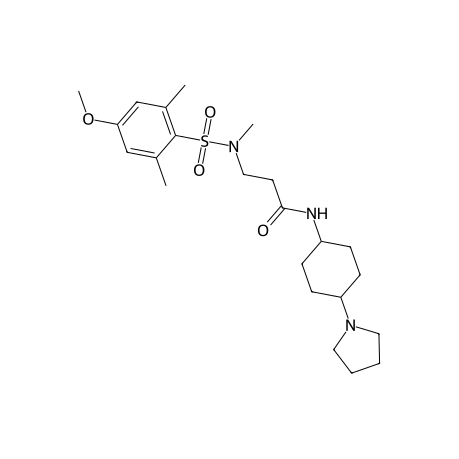 COc1cc(C)c(S(=O)(=O)N(C)CCC(=O)NC2CCC(N3CCCC3)CC2)c(C)c1